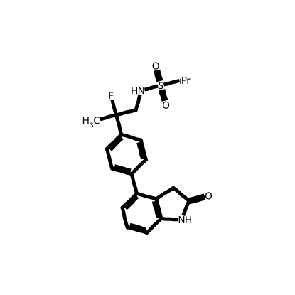 CC(C)S(=O)(=O)NCC(C)(F)c1ccc(-c2cccc3c2CC(=O)N3)cc1